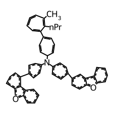 CCCC1=C(C)C=C=CC=C1C1=CC=CC(N(c2ccc(-c3ccc4oc5ccccc5c4c3)cc2)c2ccc(-c3cccc4oc5ccccc5c34)cc2)C=C1